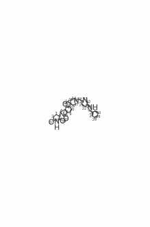 O=C1CCC(N2Cc3c(ccc4c3OCC43CCN(Cc4ccc(NCc5ccccc5)cn4)CC3)C2=O)C(=O)N1